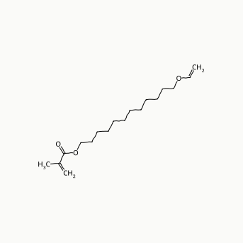 C=COCCCCCCCCCCCCOC(=O)C(=C)C